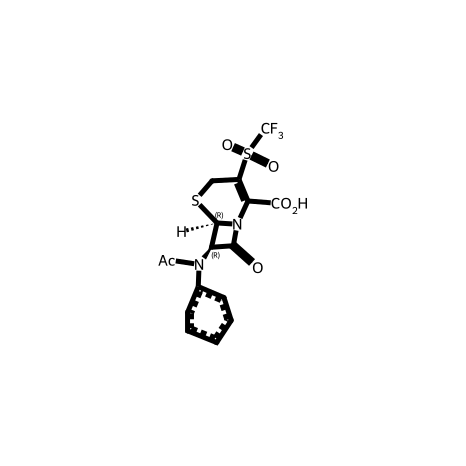 CC(=O)N(c1ccccc1)[C@@H]1C(=O)N2C(C(=O)O)=C(S(=O)(=O)C(F)(F)F)CS[C@H]12